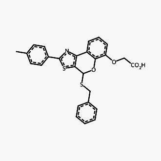 Cc1ccc(-c2nc3c(s2)C(SCc2ccccc2)Oc2c(OCC(=O)O)cccc2-3)cc1